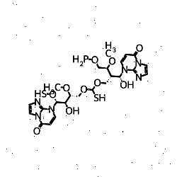 CO[C@H](COC(S)OC[C@@H]([C@@H](O)n1ccc(=O)n2ccnc12)[C@@H](COP)OC)[C@@H](O)[C@@H](OS)n1ccc(=O)n2ccnc12